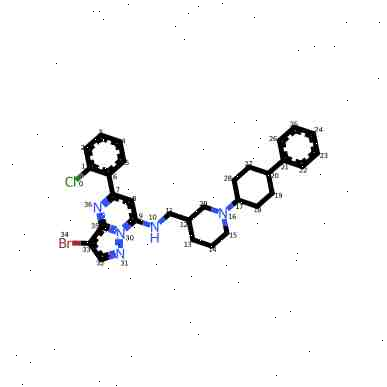 Clc1ccccc1-c1cc(NCC2CCCN(C3CCC(c4ccccc4)CC3)C2)n2ncc(Br)c2n1